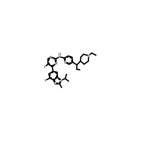 CCC(c1ccc(Nc2ncc(F)c(-c3cc(F)c4nc(C)n(C(C)C)c4c3)n2)nc1)C1CCN(CC)CC1